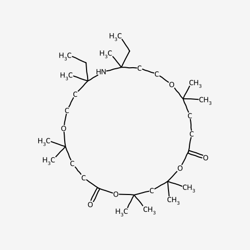 CCC1(C)CCOC(C)(C)CCC(=O)OC(C)(C)CC(C)(C)OC(=O)CCC(C)(C)OCCC(C)(CC)N1